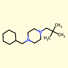 CC(C)(C)CN1CCN(CC2CCCCC2)CC1